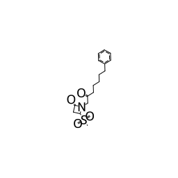 CS(=O)(=O)C1CC(=O)N1CC(=O)CCCCCc1ccccc1